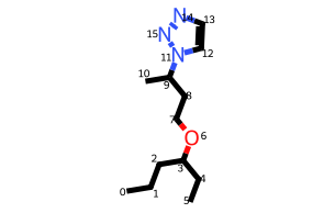 CCCC(CC)OCCC(C)n1ccnn1